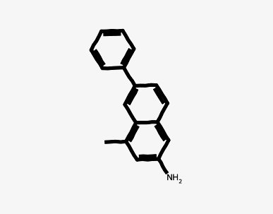 Cc1cc(N)cc2ccc(-c3ccccc3)cc12